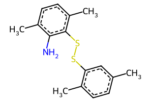 Cc1ccc(C)c(SSc2c(C)ccc(C)c2N)c1